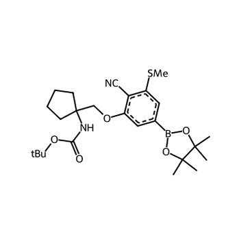 CSc1cc(B2OC(C)(C)C(C)(C)O2)cc(OCC2(NC(=O)OC(C)(C)C)CCCC2)c1C#N